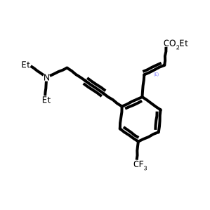 CCOC(=O)/C=C/c1ccc(C(F)(F)F)cc1C#CCN(CC)CC